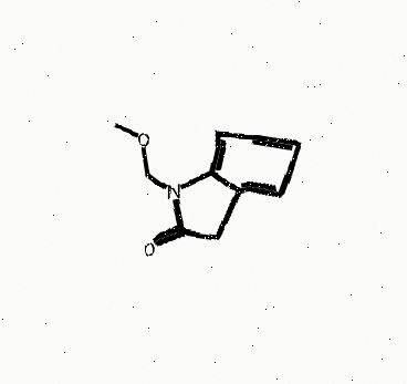 COCN1C(=O)Cc2ccccc21